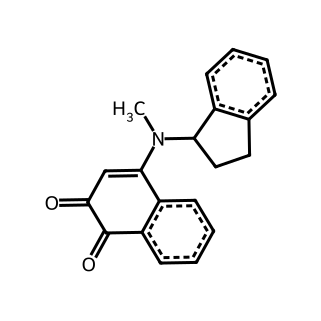 CN(C1=CC(=O)C(=O)c2ccccc21)C1CCc2ccccc21